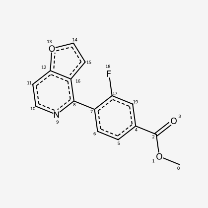 COC(=O)c1ccc(-c2nccc3occc23)c(F)c1